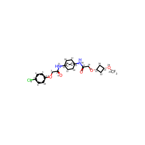 O=C(COc1ccc(Cl)cc1)NC12CCC(NC(=O)CO[C@H]3C[C@@H](OC(F)(F)F)C3)(CC1)CC2